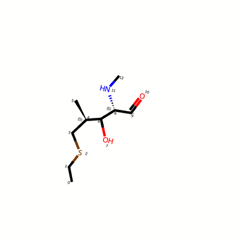 CCSC[C@@H](C)C(O)[C@@H]([C]=O)NC